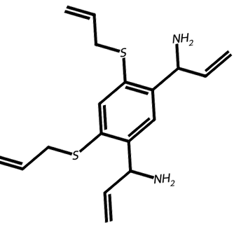 C=CCSc1cc(SCC=C)c(C(N)C=C)cc1C(N)C=C